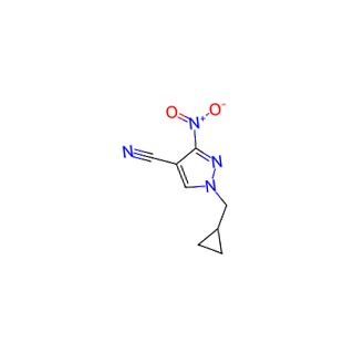 N#Cc1cn(CC2CC2)nc1[N+](=O)[O-]